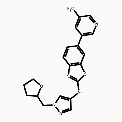 FC(F)(F)c1cncc(-c2ccc3nc(Nc4cnn(CC5CCCO5)c4)sc3c2)c1